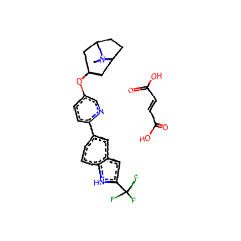 CN1C2CCC1CC(Oc1ccc(-c3ccc4[nH]c(C(F)(F)F)cc4c3)nc1)C2.O=C(O)/C=C/C(=O)O